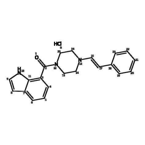 Cl.O=C(c1cccc2cc[nH]c12)N1CCN(C=Cc2ccccc2)CC1